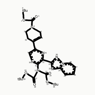 CC(C)(C)OC(=O)N1CC=C(c2cnc(N(C(=O)OC(C)(C)C)C(=O)OC(C)(C)C)c(-c3nc4ccccn4n3)n2)CC1